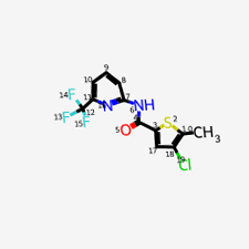 Cc1sc(C(=O)Nc2cccc(C(F)(F)F)n2)cc1Cl